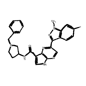 Cn1nc(-c2cnc3[nH]cc(C(=O)NC4CCN(Cc5ccccc5)C4)c3n2)c2ccc(F)cc21